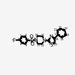 O=S(=O)(c1ccc(F)cc1)N1CCN(c2nc(-c3ccccc3)cs2)CC1